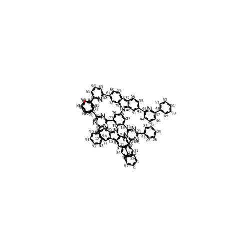 c1ccc(-c2ccc3c(c2)c2ccccc2n3-c2c(-c3nc(-c4ccccc4)nc(-c4ccccc4)n3)cc(-n3c4cc(-c5cccc(-c6ccccc6)n5)ccc4c4ccc(-c5cccc(-c6ccccc6)n5)cc43)cc2-c2nc(-c3ccccc3)nc(-c3ccccc3)n2)cc1